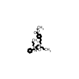 CCCCN(CCCc1ccc(C(=O)OCC)cc1)Cc1c(Cl)nc(-c2ccccc2)n1CCCC